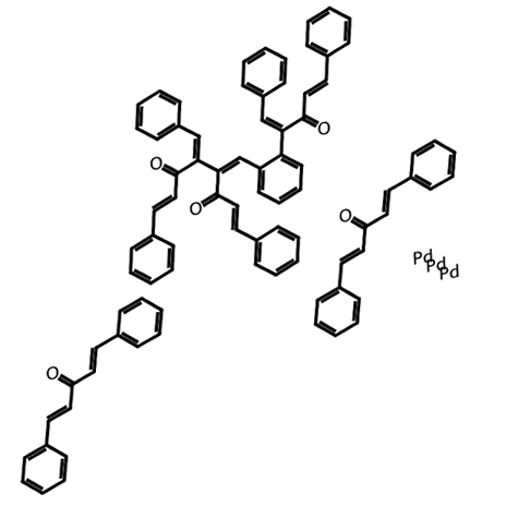 O=C(C=Cc1ccccc1)C(=Cc1ccccc1)C(=Cc1ccccc1C(=Cc1ccccc1)C(=O)C=Cc1ccccc1)C(=O)C=Cc1ccccc1.O=C(C=Cc1ccccc1)C=Cc1ccccc1.O=C(C=Cc1ccccc1)C=Cc1ccccc1.[Pd].[Pd].[Pd]